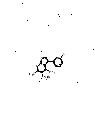 CCOC(=O)c1c(C)nc2scc(-c3cccc(Br)c3)c2c1N